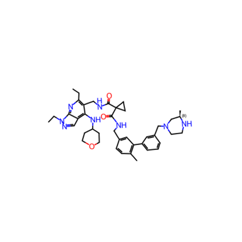 CCc1nc2c(cnn2CC)c(NC2CCOCC2)c1CNC(=O)C1(C(=O)NCc2ccc(C)c(-c3cccc(CN4CCN[C@H](C)C4)c3)c2)CC1